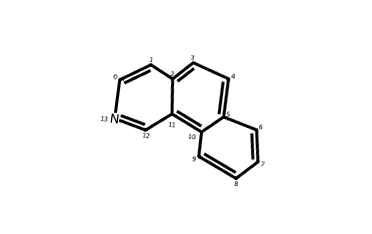 [c]1cc2ccc3ccccc3c2cn1